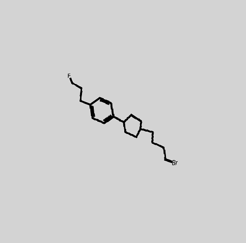 FCCCc1ccc(C2CCC(CCCCBr)CC2)cc1